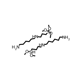 CO[SiH](CCCCNCCCCCCN)OC.CO[Si](CCCNCCCCCCN)(OC)OC